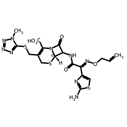 C=CCON=C(C(=O)NC1C(=O)N2C(C(=O)O)=C(CSc3nnnn3C)CS[C@@H]12)c1csc(N)n1